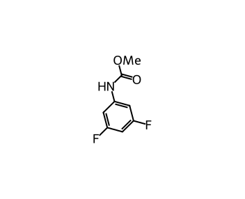 COC(=O)Nc1cc(F)cc(F)c1